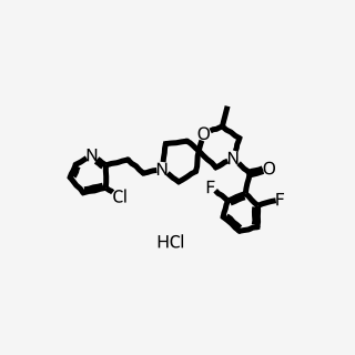 CC1CN(C(=O)c2c(F)cccc2F)CC2(CCN(CCc3ncccc3Cl)CC2)O1.Cl